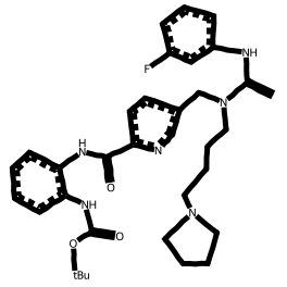 C=C(Nc1cccc(F)c1)N(CCCCN1CCCC1)Cc1ccc(C(=O)Nc2ccccc2NC(=O)OC(C)(C)C)nc1